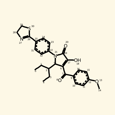 CCC(CC)C1C(C(=O)c2ccc(OC)cc2)=C(O)C(=O)N1c1ccc(C2=NCCS2)cc1